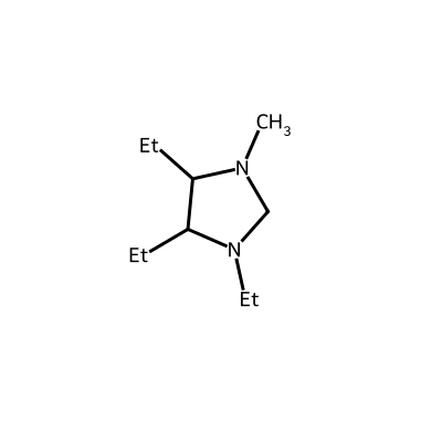 CCC1C(CC)N(CC)CN1C